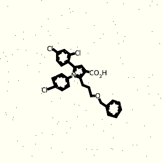 O=C(O)c1cc(-c2ccc(Cl)cc2Cl)n(-c2ccc(Cl)cc2)c1CCCOCc1ccccc1